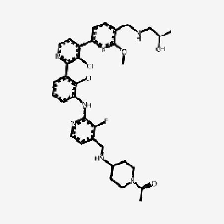 COc1nc(-c2ccnc(-c3cccc(Nc4nccc(CNC5CCN(C(C)=O)CC5)c4F)c3Cl)c2Cl)ccc1CNC[C@@H](C)O